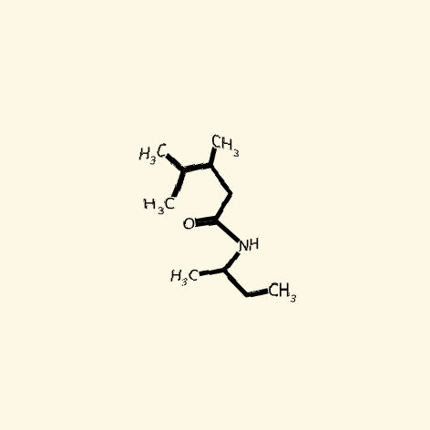 CCC(C)NC(=O)CC(C)C(C)C